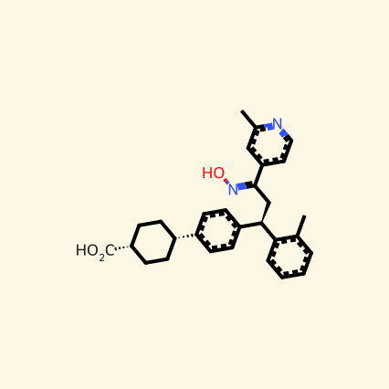 Cc1cc(C(C[C@H](c2ccc([C@H]3CC[C@@H](C(=O)O)CC3)cc2)c2ccccc2C)=NO)ccn1